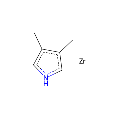 Cc1c[nH]cc1C.[Zr]